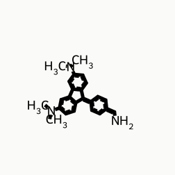 CN(C)c1ccc2c(c1)-c1cc(N(C)C)ccc1C2=c1ccc(=CN)cc1